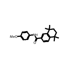 COc1ccc(NC(=O)c2ccc3c(c2)C(C)(C)CCC3(C)C)cc1